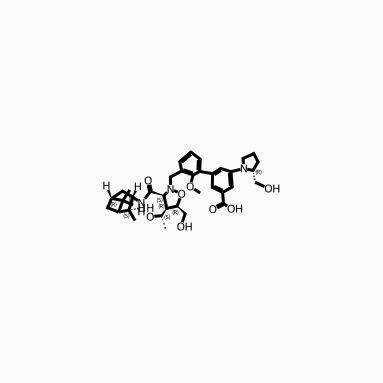 COc1c(CN2O[C@@H](CO)[C@@H]([C@H](C)O)[C@H]2C(=O)N[C@H]2C[C@H]3CC([C@@H]2C)C3(C)C)cccc1-c1cc(C(=O)O)cc(N2CCC[C@@H]2CO)c1